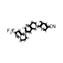 Cc1cc(C#N)cnc1N1CCc2ncc(N3CCCn4nc(C(F)(F)F)cc43)cc2C1